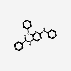 O=C(Nc1cnc(Nc2ccccc2)nc1Oc1ccccc1)c1ccccc1